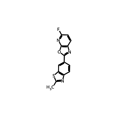 Cc1nc2ccc(-c3nc4ccc(F)nc4o3)cc2s1